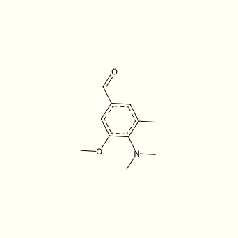 COc1cc(C=O)cc(C)c1N(C)C